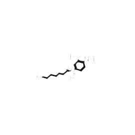 Nc1ccc(NC(=O)CCCCCCl)cc1O